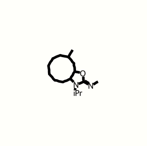 C/N=C1\OC2CC(C)CCCCCCC2N1C(C)C